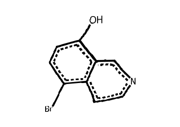 Oc1ccc(Br)c2ccncc12